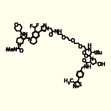 CNC(=O)N1CCc2c(c(N3CCCc4cc(-c5cnn(CC(=O)NCCOCCOCCOCC(=O)N[C@H](C(=O)N6C[C@H](O)C[C@H]6C(=O)NCc6ccc(-c7scnc7C)cc6)C(C)(C)C)c5)c(C(F)F)cc43)nn2C2CCOCC2)C1